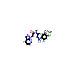 CCN(CC(C)N(C)C(=O)Cn1ncc2cccnc21)c1cc(OC)c(Cl)cc1F